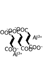 O=C([O-])/C=C/C(=O)[O-].O=C([O-])/C=C/C(=O)[O-].O=C([O-])/C=C/C(=O)[O-].[Al+3].[Al+3]